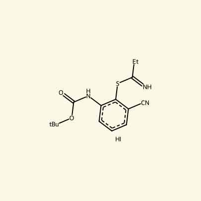 CCC(=N)Sc1c(C#N)cccc1NC(=O)OC(C)(C)C.I